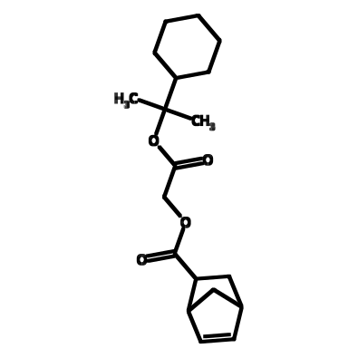 CC(C)(OC(=O)COC(=O)C1CC2C=CC1C2)C1CCCCC1